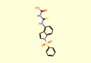 O=C(O)NC(=S)Nc1cccc2c1ccn2S(=O)(=O)c1ccccc1